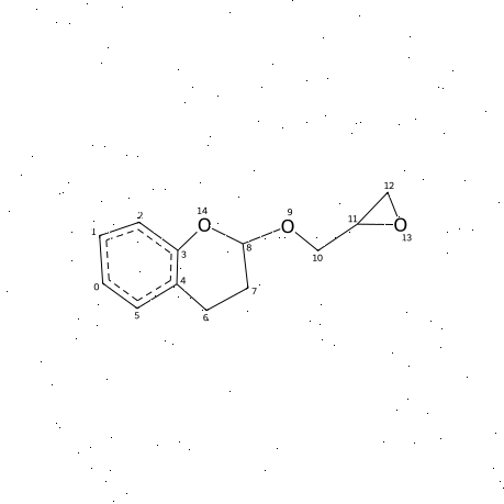 c1ccc2c(c1)CCC(OCC1CO1)O2